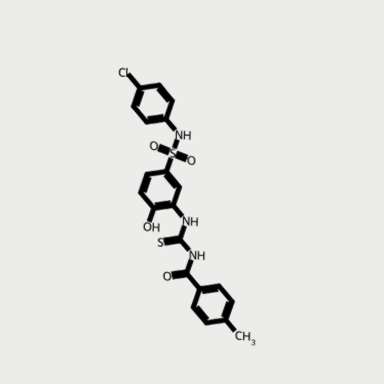 Cc1ccc(C(=O)NC(=S)Nc2cc(S(=O)(=O)Nc3ccc(Cl)cc3)ccc2O)cc1